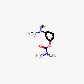 CCCN(C(=O)O)c1cccc(OC(=O)N(C)C)c1